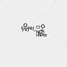 O=C(NCCCCNc1cc(-c2ccccc2Cl)nc2c(Br)cnn12)c1ccccc1C(F)(F)F